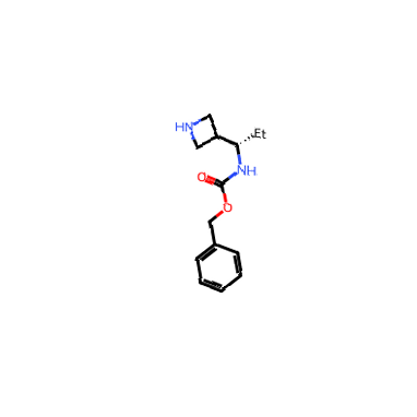 CC[C@H](NC(=O)OCc1ccccc1)C1CNC1